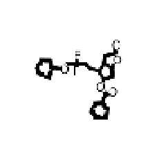 O=C1CC2C(CC(OC(=O)c3ccccc3)C2CCC(F)(F)COc2ccccc2)O1